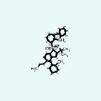 CCCc1ccc2c(c1-c1ccccc1C)C=C(C(C)(C)C)[CH]2[Zr]([Cl])([Cl])[c]1cccc2c1[SiH2]c1ccccc1-2